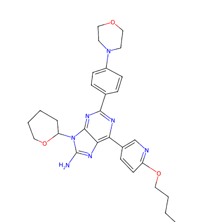 CCCCOc1ccc(-c2nc(-c3ccc(N4CCOCC4)cc3)nc3c2nc(N)n3C2CCCCO2)cn1